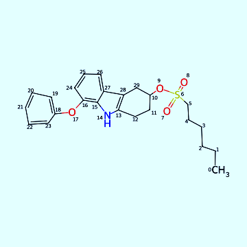 CCCCCCS(=O)(=O)OC1CCc2[nH]c3c(Oc4ccccc4)cccc3c2C1